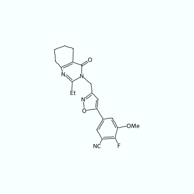 CCc1nc2c(c(=O)n1Cc1cc(-c3cc(C#N)c(F)c(OC)c3)on1)CCCC2